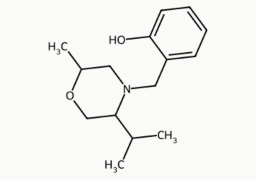 CC1CN(Cc2ccccc2O)C(C(C)C)CO1